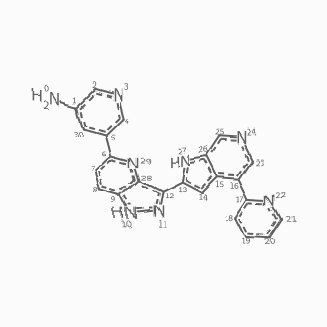 Nc1cncc(-c2ccc3[nH]nc(-c4cc5c(-c6ccccn6)cncc5[nH]4)c3n2)c1